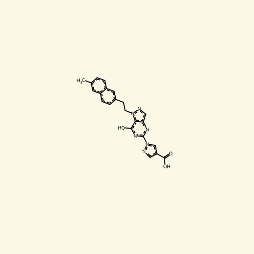 Cc1ccc2cc(CCn3ncc4nc(-n5cc(C(=O)O)cn5)nc(O)c43)ccc2c1